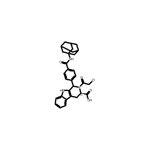 O=C(NC12CC3CC(CC(C3)C1)C2)c1ccc(C2c3[nH]c4ccccc4c3C[C@H](C(=O)O)N2C(=O)CCl)cc1